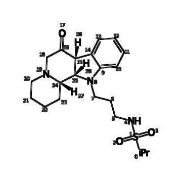 CC(C)S(=O)(=O)NCCCN1c2ccccc2[C@H]2C(=O)CN3CCCC[C@H]3[C@H]21